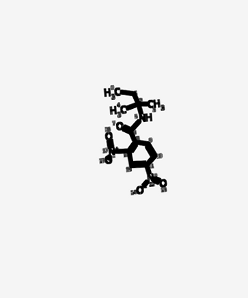 CCC(C)(C)NC(=O)c1ccc([N+](=O)[O-])cc1[N+](=O)[O-]